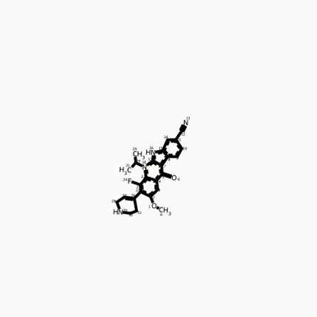 COc1cc2c(=O)c3c4ccc(C#N)cc4[nH]c3n(C(C)C)c2c(F)c1C1=CCNCC1